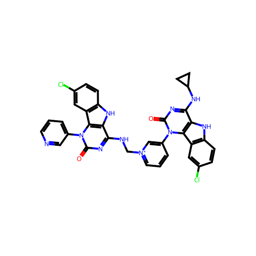 O=c1nc(NC[n+]2cccc(-n3c(=O)nc(NC4CC4)c4[nH]c5ccc(Cl)cc5c43)c2)c2[nH]c3ccc(Cl)cc3c2n1-c1cccnc1